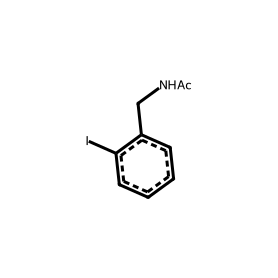 CC(=O)NCc1ccccc1I